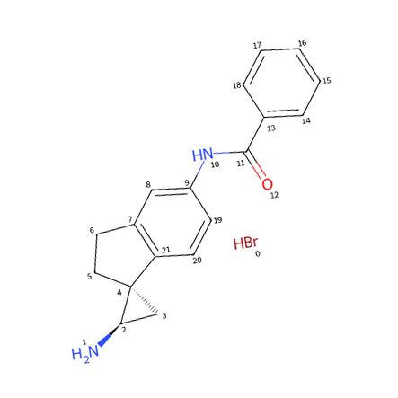 Br.N[C@@H]1C[C@@]12CCc1cc(NC(=O)c3ccccc3)ccc12